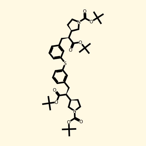 CC(C)(C)OC(=O)[C@@H](Cc1cccc(Sc2cccc(C[C@H](C(=O)OC(C)(C)C)[C@H]3CCN(C(=O)OC(C)(C)C)C3)c2)c1)[C@H]1CCN(C(=O)OC(C)(C)C)C1